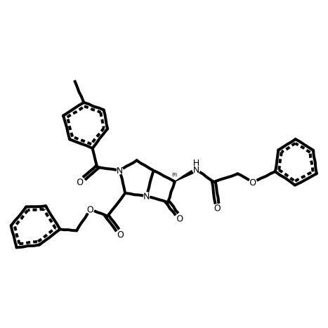 Cc1ccc(C(=O)N2CC3[C@@H](NC(=O)COc4ccccc4)C(=O)N3C2C(=O)OCc2ccccc2)cc1